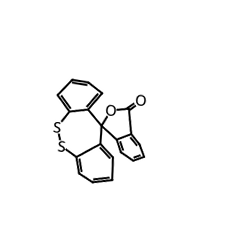 O=C1OC2(c3ccccc3SSc3ccccc32)c2ccccc21